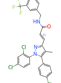 Cc1c(/C=C/C(=O)NCc2cccc(C(F)(F)F)c2)nn(-c2ccc(Cl)cc2Cl)c1-c1ccc(Cl)cc1